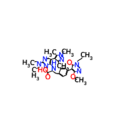 CCCn1cnc(OC)c(-c2ccc(C[C@H](Nc3nc(N(CC)CC)ncc3-c3c(C)nn(C)c3C)C(=O)O)cc2)c1=O